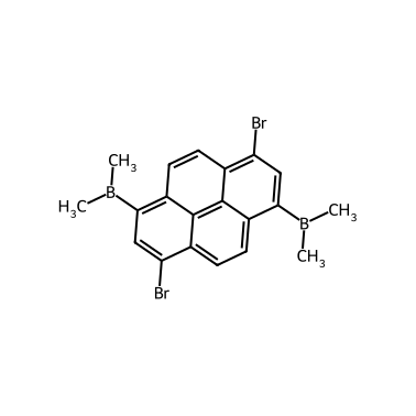 CB(C)c1cc(Br)c2ccc3c(B(C)C)cc(Br)c4ccc1c2c43